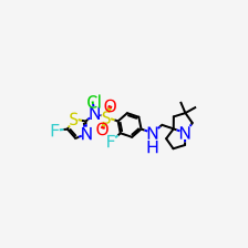 CC1(C)CN2CCCC2(CNc2ccc(S(=O)(=O)N(Cl)c3ncc(F)s3)c(F)c2)C1